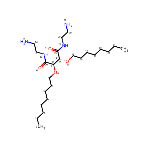 CCCCCCCCO[C@@H](C(=O)NCCN)[C@@H](OCCCCCCCC)C(=O)NCCN